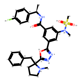 C[C@@H](NC(=O)c1cc(-c2nnc(C3(Cc4ccccc4)CCCN3C)o2)cc(N(C)S(C)(=O)=O)c1)c1ccc(F)cc1